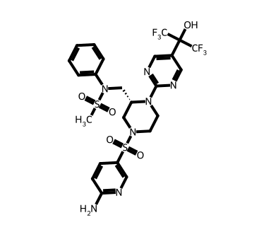 CS(=O)(=O)N(C[C@H]1CN(S(=O)(=O)c2ccc(N)nc2)CCN1c1ncc(C(O)(C(F)(F)F)C(F)(F)F)cn1)c1ccccc1